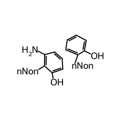 CCCCCCCCCc1c(N)cccc1O.CCCCCCCCCc1ccccc1O